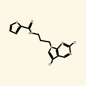 O=C(NCCCn1cc(Cl)c2cnc(Cl)nc21)c1cccs1